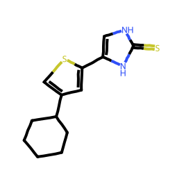 S=c1[nH]cc(-c2cc(C3CCCCC3)cs2)[nH]1